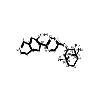 Oc1cc2cnccc2cc1-c1ncc(O[C@@H]2C[C@H]3CCC[C@H](N3)[C@H]2F)nn1